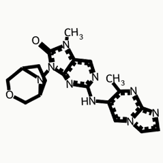 Cc1nc2nccn2cc1Nc1ncc2c(n1)n(N1C3CCC1COC3)c(=O)n2C